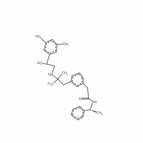 C[C@H](NC(=O)Cc1cccc(CC(C)(C)NCC(O)c2cc(O)cc(O)c2)c1)c1ccccc1